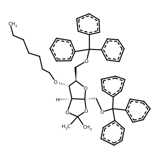 CCCCCCCO[C@@H]1[C@@H](COC(c2ccccc2)(c2ccccc2)c2ccccc2)O[C@@]2(COC(c3ccccc3)(c3ccccc3)c3ccccc3)OC(C)(C)O[C@@H]12